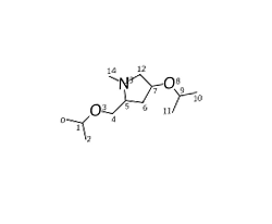 CC(C)OCC1CC(OC(C)C)CN1C